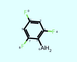 Fc1cc(F)[c]([AlH2])c(F)c1